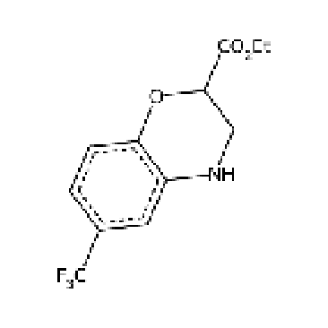 CCOC(=O)C1CNc2cc(C(F)(F)F)ccc2O1